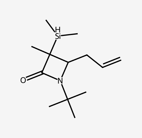 C=CCC1N(C(C)(C)C)C(=O)C1(C)[SiH](C)C